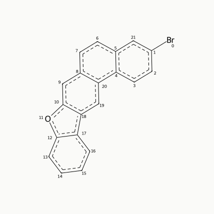 Brc1ccc2c(ccc3cc4oc5ccccc5c4cc32)c1